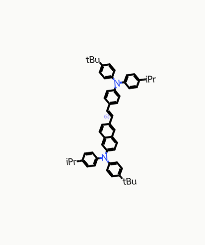 CC(C)c1ccc(N(c2ccc(/C=C/c3ccc4cc(N(c5ccc(C(C)C)cc5)c5ccc(C(C)(C)C)cc5)ccc4c3)cc2)c2ccc(C(C)(C)C)cc2)cc1